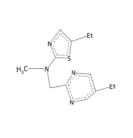 CCc1cnc(CN(C)c2ncc(CC)s2)nc1